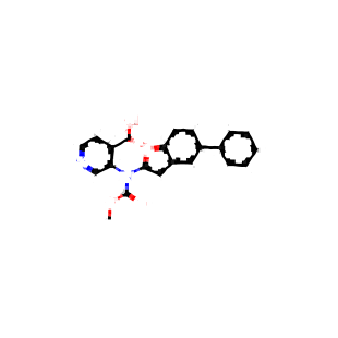 COC(=O)N(c1cc2cc(-c3ccccc3)ccc2o1)c1cnccc1C(=O)O